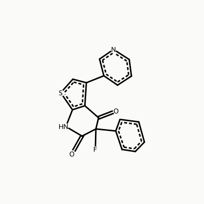 O=C1Nc2scc(-c3cccnc3)c2C(=O)C1(F)c1ccccc1